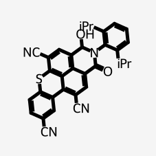 CC(C)c1cccc(C(C)C)c1N1C(=O)c2cc(C#N)c3c4c(c(C#N)cc(c24)C1O)Sc1ccc(C#N)cc1-3